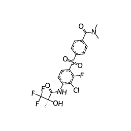 CN(C)C(=O)c1ccc(S(=O)(=O)c2ccc(NC(=O)[C@@](C)(O)C(F)(F)F)c(Cl)c2F)cc1